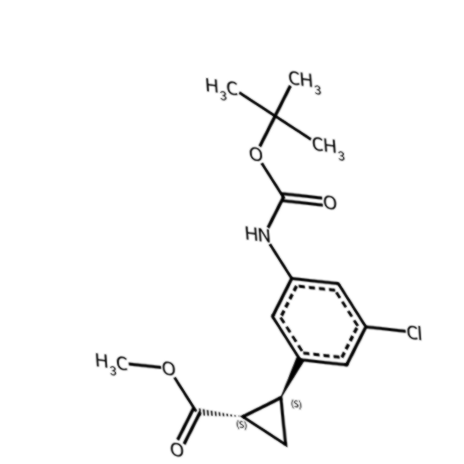 COC(=O)[C@H]1C[C@@H]1c1cc(Cl)cc(NC(=O)OC(C)(C)C)c1